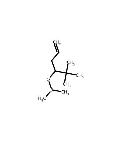 C=CCC(OB(C)C)C(C)(C)C